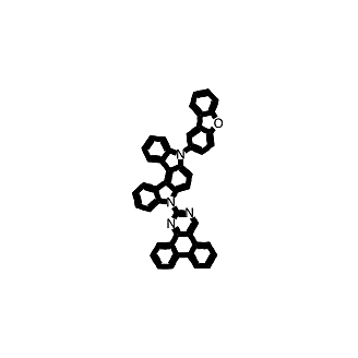 c1ccc2c(c1)oc1ccc(-n3c4ccccc4c4c5c6ccccc6n(-c6ncc7c8ccccc8c8ccccc8c7n6)c5ccc43)cc12